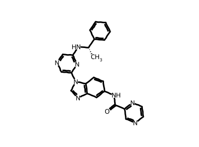 C[C@H](Nc1cncc(-n2cnc3cc(NC(=O)c4cnccn4)ccc32)n1)c1ccccc1